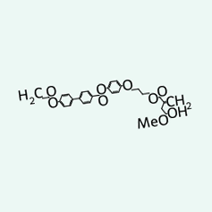 C=CC(=O)Oc1ccc(-c2ccc(C(=O)Oc3ccc(OCCCCOC(=O)C(=C)CC(O)OC)cc3)cc2)cc1